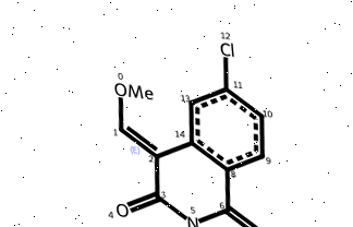 CO/C=C1/C(=O)NC(=O)c2ccc(Cl)cc21